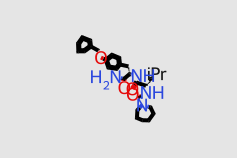 CC(C)C[C@H](NC(=O)N1CCCCCC1)C(=O)N[C@@H](Cc1ccc(OCc2ccccc2)cc1)C(N)=O